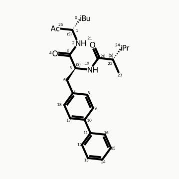 CCC(C)[C@H](NC(=O)[C@H](Cc1ccc(-c2ccccc2)cc1)NC(=O)[C@@H](C)C(C)C)C(C)=O